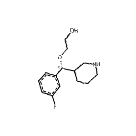 OCCO[C@@H](c1cccc(F)c1)C1CCCNC1